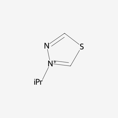 CC(C)[n+]1cscn1